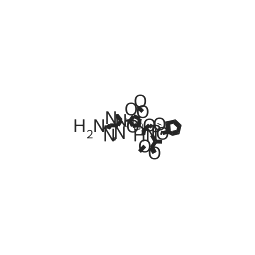 COC(=O)C(C)NP(=O)(Oc1ccccc1)OC(C)[C@H]1O[C@@H](n2cnc3c(N)ncnc32)C2OC(=O)OC21